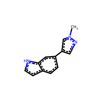 Cn1cc(-c2ccc3cc[nH]c3c2)cn1